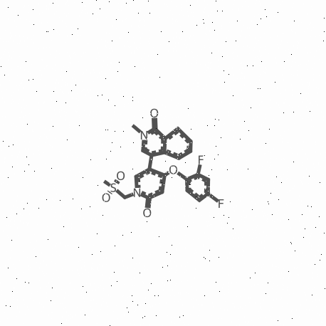 Cn1cc(-c2cn(CS(C)(=O)=O)c(=O)cc2Oc2ccc(F)cc2F)c2ccccc2c1=O